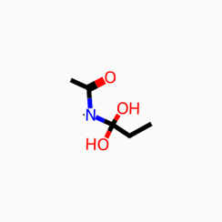 CCC(O)(O)[N]C(C)=O